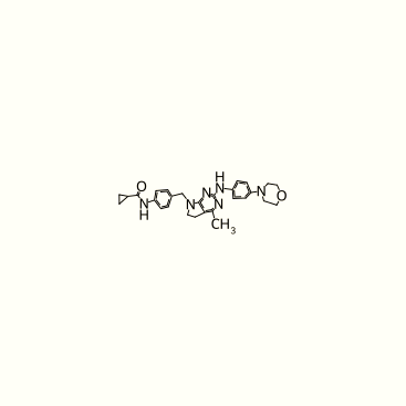 Cc1nc(Nc2ccc(N3CCOCC3)cc2)nc2c1CCN2Cc1ccc(NC(=O)C2CC2)cc1